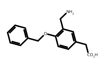 NCc1cc(CC(=O)O)ccc1OCc1ccccc1